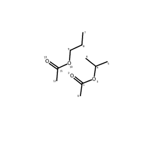 CC(=O)OC(C)C.CCCOC(C)=O